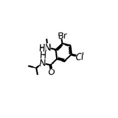 CNc1c(Br)cc(Cl)cc1C(=O)NC(C)C